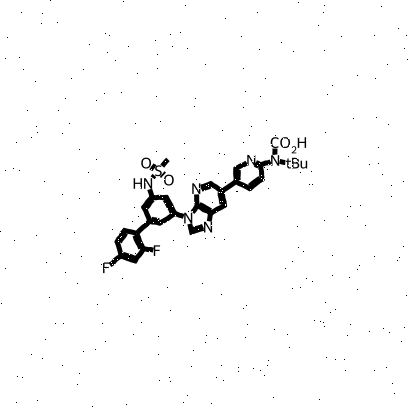 CC(C)(C)N(C(=O)O)c1ccc(-c2cnc3c(c2)ncn3-c2cc(NS(C)(=O)=O)cc(-c3ccc(F)cc3F)c2)cn1